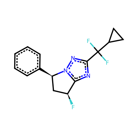 F[C@H]1C[C@@H](c2ccccc2)n2nc(C(F)(F)C3CC3)nc21